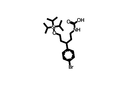 CC(C)[Si](OCCC(CCNC(=O)O)c1ccc(Br)cc1)(C(C)C)C(C)C